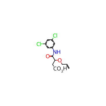 C=CCOC(CC(=O)O)C(=O)Nc1cc(Cl)cc(Cl)c1